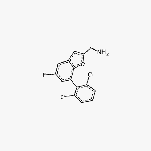 NCc1cc2cc(F)cc(-c3c(Cl)cccc3Cl)c2o1